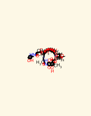 C/C1=C/C=C/[C@H](C(C)OC(=O)C(C)(C)CC(=O)NCc2cccc(O)c2)[C@H](O)[C@@H](C)[C@@H](O)[C@@H](C)[C@H](O)[C@H](C)[C@@H](O[C@H]2C[C@@H]3OCO[C@@H]3[C@@H](C)O2)/C=C/O[C@@]2(C)Oc3c(C)c(O)c4c(c3C2=O)C(=O)C=C(NC1=O)C4=O